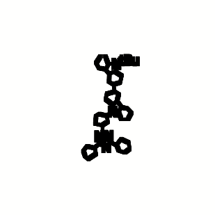 CC(C)(C)n1c2ccccc2c2cc(-c3ccc4c(c3)c3ccccc3n4-c3cccc(-c4nc(-c5ccccc5)nc(-c5ccccc5)n4)c3)ccc21